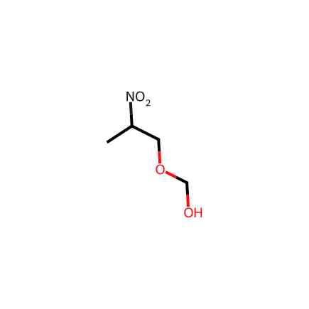 CC(COCO)[N+](=O)[O-]